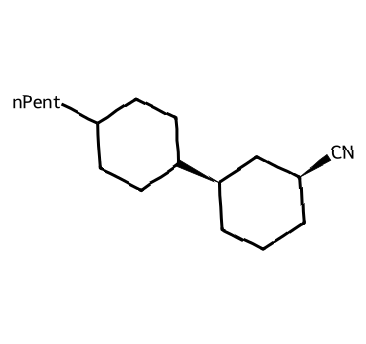 CCCCCC1CCC([C@@H]2CCC[C@H](C#N)C2)CC1